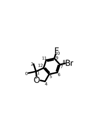 CC1(C)OCc2cc(Br)c(F)cc21